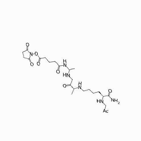 CC(=O)CN[C@@H](CCCCNC(C)C(=O)CNC(C)NC(=O)CCCC(=O)ON1C(=O)CCC1=O)C(N)=O